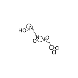 CC1(CO)CCCCN1CCCCN1CCN(C(=O)/C=C/c2ccc(Cl)c(Cl)c2)CCC1=O